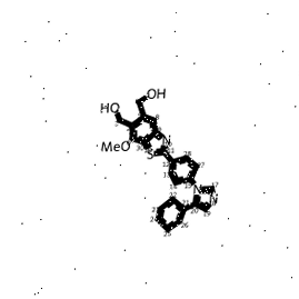 COc1c(CO)c(CO)cc2nc(-c3ccc(-n4cncc4-c4ccccc4)cc3)sc12